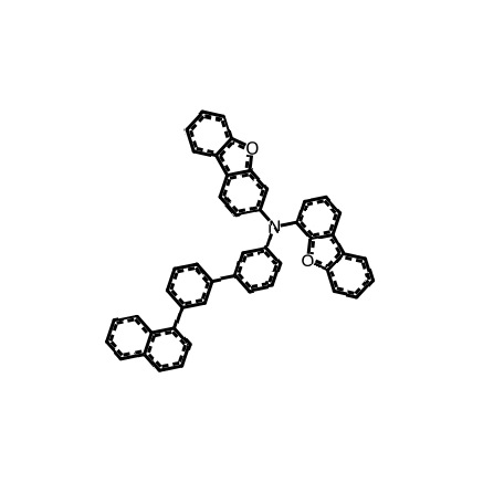 c1cc(-c2cccc(N(c3ccc4c(c3)oc3ccccc34)c3cccc4c3oc3ccccc34)c2)cc(-c2cccc3ccccc23)c1